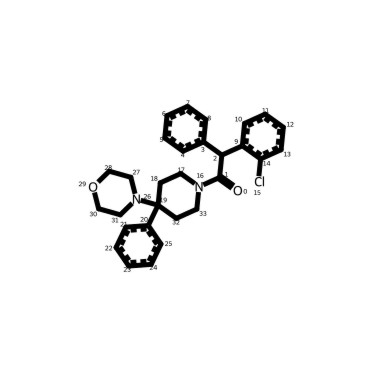 O=C([C](c1ccccc1)c1ccccc1Cl)N1CCC(c2ccccc2)(N2CCOCC2)CC1